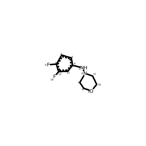 Fc1ccc(NN2CCOCC2)cc1F